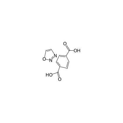 O=C(O)c1ccc(C(=O)O)cc1.c1conn1